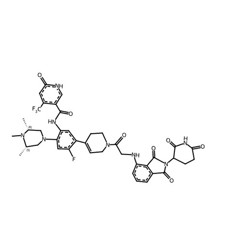 C[C@@H]1CN(c2cc(F)c(C3=CCN(C(=O)CNc4cccc5c4C(=O)N(C4CCC(=O)NC4=O)C5=O)CC3)cc2NC(=O)c2c[nH]c(=O)cc2C(F)(F)F)C[C@H](C)N1C